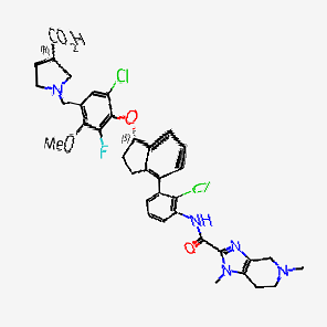 COc1c(CN2CC[C@@H](C(=O)O)C2)cc(Cl)c(O[C@H]2CCc3c(-c4cccc(NC(=O)c5nc6c(n5C)CCN(C)C6)c4Cl)cccc32)c1F